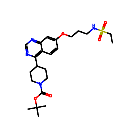 CCS(=O)(=O)NCCCOc1ccc2c(C3CCN(C(=O)OC(C)(C)C)CC3)ncnc2c1